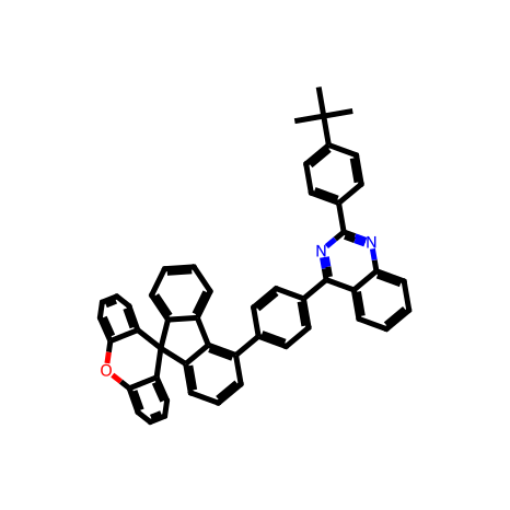 CC(C)(C)c1ccc(-c2nc(-c3ccc(-c4cccc5c4-c4ccccc4C54c5ccccc5Oc5ccccc54)cc3)c3ccccc3n2)cc1